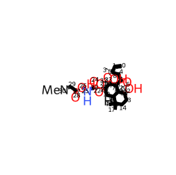 C=C[C@@]1(C)CC(=O)[C@]2(O)[C@@]3(C)[C@@H](O)CCC(C)(C)[C@@H]3C[C@](O)(OC(=O)NOC(=O)CNC)[C@@]2(C)O1